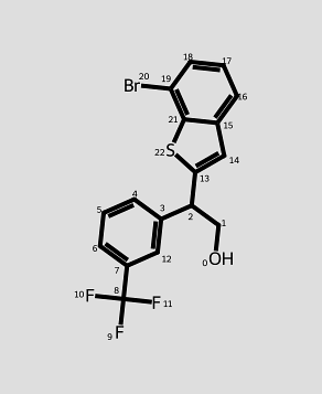 OCC(c1cccc(C(F)(F)F)c1)c1cc2cccc(Br)c2s1